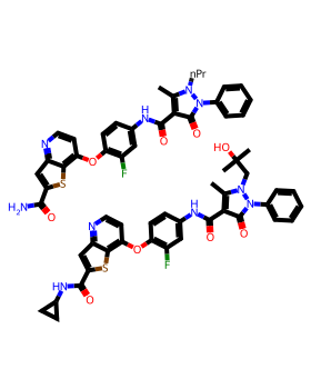 CCCn1c(C)c(C(=O)Nc2ccc(Oc3ccnc4cc(C(N)=O)sc34)c(F)c2)c(=O)n1-c1ccccc1.Cc1c(C(=O)Nc2ccc(Oc3ccnc4cc(C(=O)NC5CC5)sc34)c(F)c2)c(=O)n(-c2ccccc2)n1CC(C)(C)O